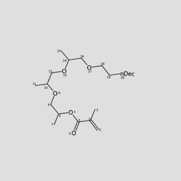 C=C(C)C(=O)OC(C)COC(C)COC(C)COCCCCCCCCCCCC